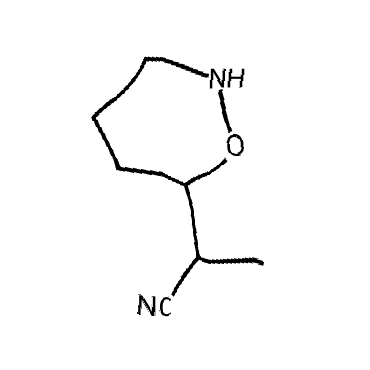 CC(C#N)C1CCCNO1